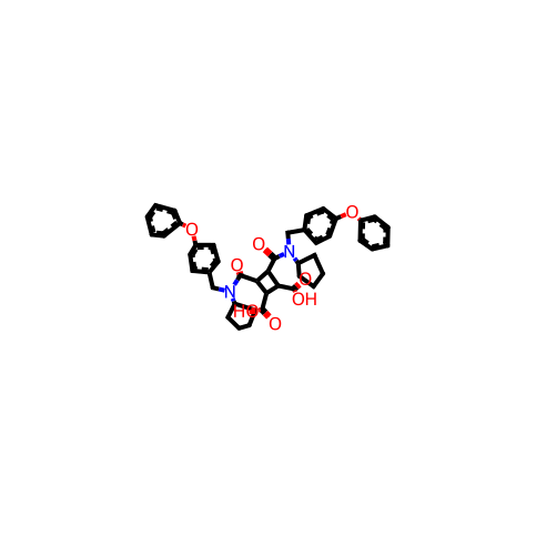 O=C(O)C1C(C(=O)O)C(C(=O)N(Cc2ccc(Oc3ccccc3)cc2)C2CCCC2)C1C(=O)N(Cc1ccc(Oc2ccccc2)cc1)C1CCCC1